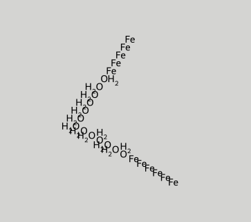 O.O.O.O.O.O.O.O.O.O.O.O.O.[Fe].[Fe].[Fe].[Fe].[Fe].[Fe].[Fe].[Fe].[Fe].[Fe].[Fe]